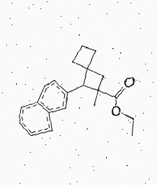 CCOC(=O)C1(C)CC2(CCC2)C1c1ccc2ccccc2c1